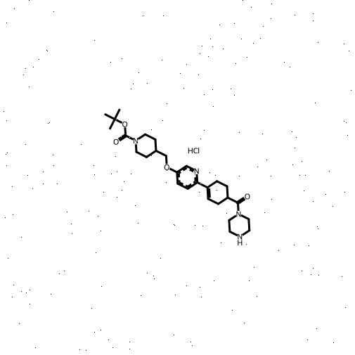 CC(C)(C)OC(=O)N1CCC(COc2ccc(C3=CCC(C(=O)N4CCNCC4)CC3)nc2)CC1.Cl